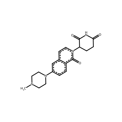 CN1CCN(c2ccc3c(=O)n(C4CCC(=O)NC4=O)ccc3c2)CC1